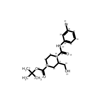 CC(C)(C)OC(=O)N1CCN(C(=O)Nc2cccc(Br)c2)C(CO)C1